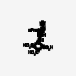 CCCCCNC(=O)[C@@H](Cc1ccc(-c2ccccc2)cc1)NC(=O)CCNCN1CCN(CC(=O)O)CCN(CC(=O)O)CCN(CC(=O)O)CC1